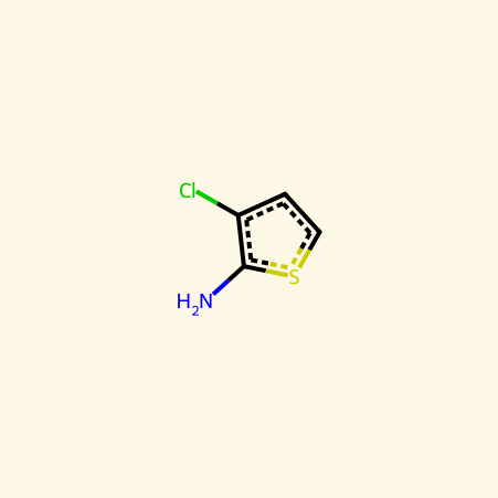 Nc1sccc1Cl